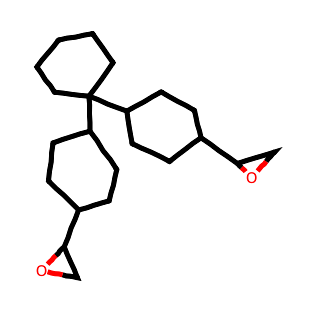 C1CCC(C2CCC(C3CO3)CC2)(C2CCC(C3CO3)CC2)CC1